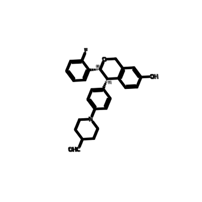 O=CC1CCN(c2ccc([C@H]3c4ccc(O)cc4CO[C@H]3c3ccccc3F)cc2)CC1